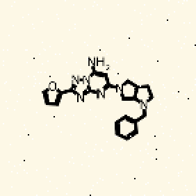 Nc1cc(N2CC3CCN(Cc4ccccc4)C3C2)nc2nc(-c3ccco3)nn12